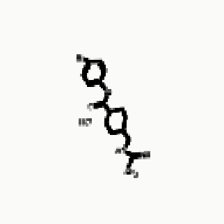 Cl.N=C(N)NCC1CCC(C(=O)Oc2ccc(Br)cc2)CC1